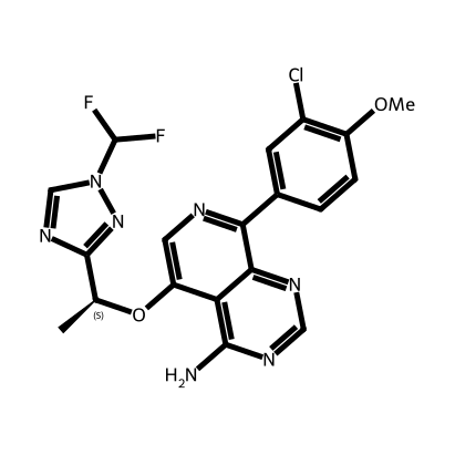 COc1ccc(-c2ncc(O[C@@H](C)c3ncn(C(F)F)n3)c3c(N)ncnc23)cc1Cl